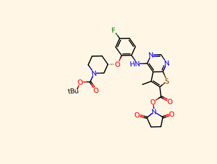 Cc1c(C(=O)ON2C(=O)CCC2=O)sc2ncnc(Nc3ccc(F)cc3O[C@H]3CCCN(C(=O)OC(C)(C)C)C3)c12